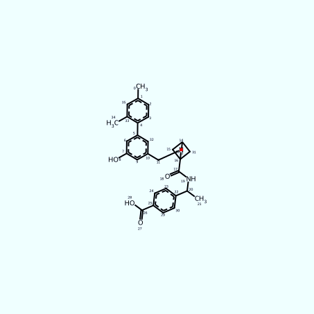 Cc1ccc(-c2cc(O)cc(CN3CC4CC3(C(=O)NC(C)c3ccc(C(=O)O)cc3)C4)c2)c(C)c1